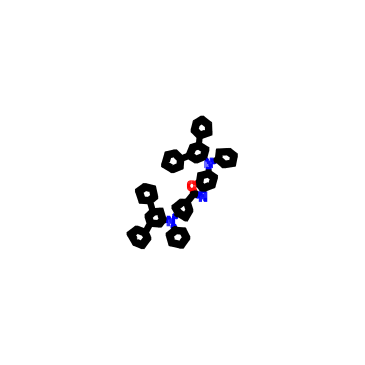 c1ccc(-c2cc(-c3ccccc3)cc(N(c3ccccc3)c3ccc(-c4nc5ccc(N(c6ccccc6)c6cc(-c7ccccc7)cc(-c7ccccc7)c6)cc5o4)cc3)c2)cc1